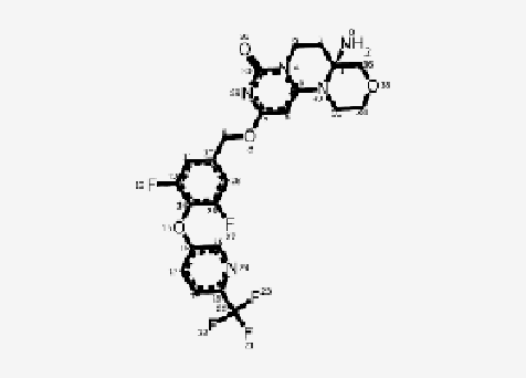 N[C@]12CCn3c(cc(OCc4cc(F)c(Oc5ccc(C(F)(F)F)nc5)c(F)c4)nc3=O)N1CCOC2